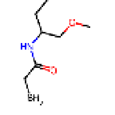 BCC(=O)NC(CC)COC